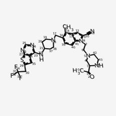 CC(=O)C1CN(CCn2c(C#N)cc3c(C)c(CN4CCC(Nc5ncnc6sc(CC(F)(F)F)cc56)CC4)ccc32)CCN1